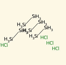 Cl.Cl.Cl.Cl.[SiH3][SiH3].[SiH3][SiH3].[SiH3][SiH3].[SiH3][SiH3]